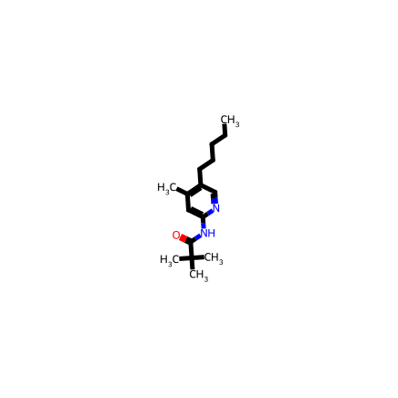 CCCCCc1cnc(NC(=O)C(C)(C)C)cc1C